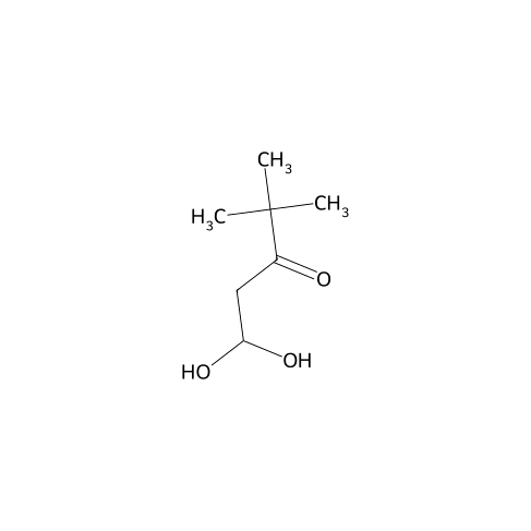 CC(C)(C)C(=O)CC(O)O